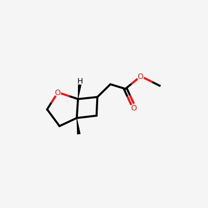 COC(=O)CC1C[C@]2(C)CCO[C@H]12